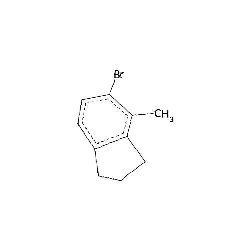 Cc1c(Br)ccc2c1CCC2